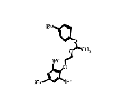 CCC(C)c1ccc(OC(C)OCCOc2c(C(C)C)cc(C(C)C)cc2C(C)C)cc1